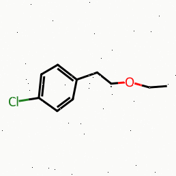 CCO[CH]Cc1ccc(Cl)cc1